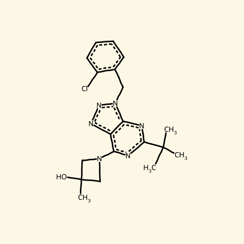 CC1(O)CN(c2nc(C(C)(C)C)nc3c2nnn3Cc2ccccc2Cl)C1